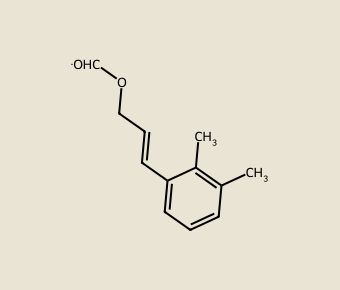 Cc1cccc(C=CCO[C]=O)c1C